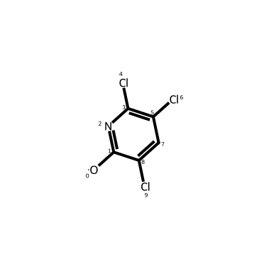 [O]c1nc(Cl)c(Cl)cc1Cl